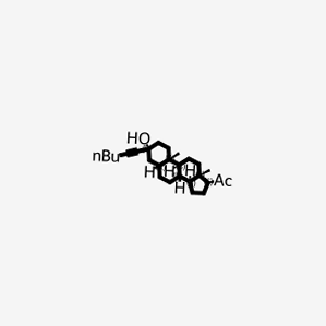 CCCCC#C[C@@]1(O)CC[C@@]2(C)[C@H](CC[C@@H]3[C@@H]2CC[C@]2(C)[C@@H](C(C)=O)CC[C@@H]32)C1